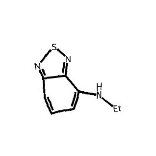 CCNc1cccc2nsnc12